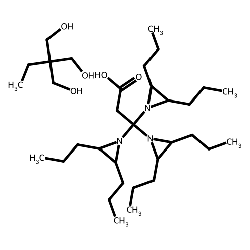 CCC(CO)(CO)CO.CCCC1C(CCC)N1C(CC(=O)O)(N1C(CCC)C1CCC)N1C(CCC)C1CCC